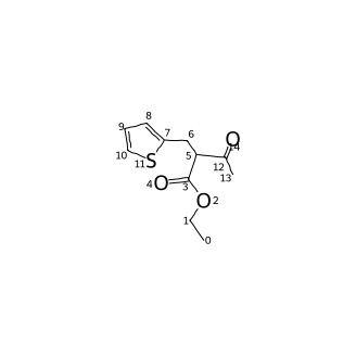 CCOC(=O)C(Cc1cccs1)C(C)=O